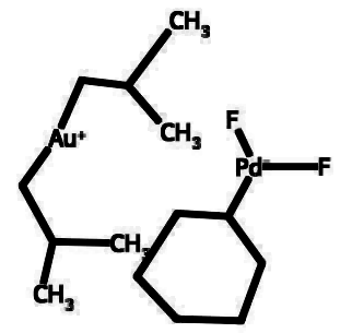 CC(C)[CH2][Au+][CH2]C(C)C.[F][Pd-]([F])[CH]1CCCCC1